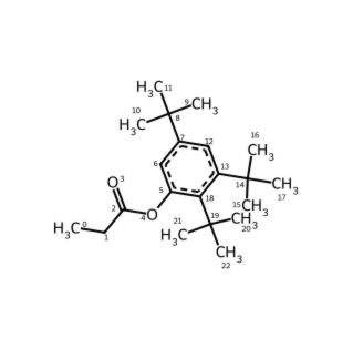 CCC(=O)Oc1cc(C(C)(C)C)cc(C(C)(C)C)c1C(C)(C)C